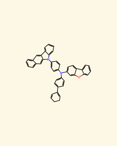 C1=CC(c2ccc(N(c3ccc(-n4c5ccccc5c5cc6ccccc6cc54)cc3)c3ccc4c(c3)oc3ccccc34)cc2)=CCC1